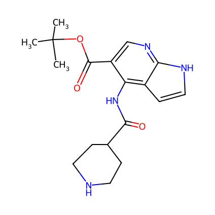 CC(C)(C)OC(=O)c1cnc2[nH]ccc2c1NC(=O)C1CCNCC1